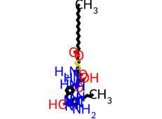 CCCCCCCCCCCCCCCC(=O)OCCSCC(N)C(=O)NC(CO)C(=O)Nc1ccc(Cn2c(O)nc3c(N)nc(NCCCC)nc32)cc1